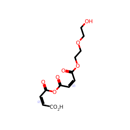 O=C(O)/C=C\C(=O)OC(=O)/C=C\C(=O)OCCOCCO